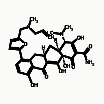 C=CCN(C)Cc1ccc(-c2ccc(O)c3c2C[C@H]2C[C@H]4[C@H](N(C)C)C(O)=C(C(N)=O)C(=O)[C@@]4(O)C(O)=C2C3=O)o1